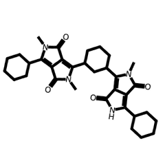 CN1C(=O)C2=C(C3CCCCC3)NC(=O)C2=C1C1CCCC(C2=C3C(=O)N(C)C(C4CCCCC4)=C3C(=O)N2C)C1